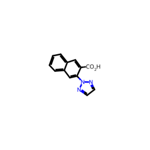 O=C(O)c1cc2ccccc2cc1-n1nccn1